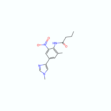 CCCC(=O)Nc1c(C)cc(-c2cn(C)cn2)cc1[N+](=O)[O-]